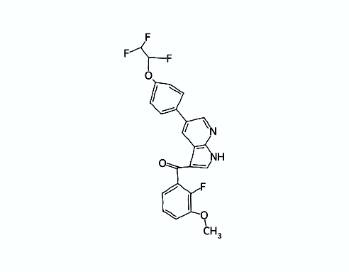 COc1cccc(C(=O)c2c[nH]c3ncc(-c4ccc(OC(F)C(F)F)cc4)cc23)c1F